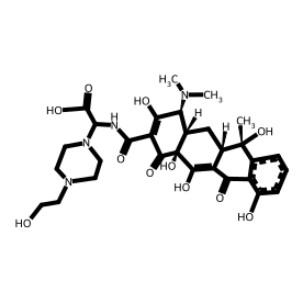 CN(C)[C@@H]1C(O)=C(C(=O)NC(C(=O)O)N2CCN(CCO)CC2)C(=O)[C@@]2(O)C(O)=C3C(=O)c4c(O)cccc4[C@@](C)(O)[C@H]3C[C@@H]12